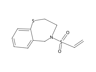 C=CS(=O)(=O)N1CCSc2ccccc2C1